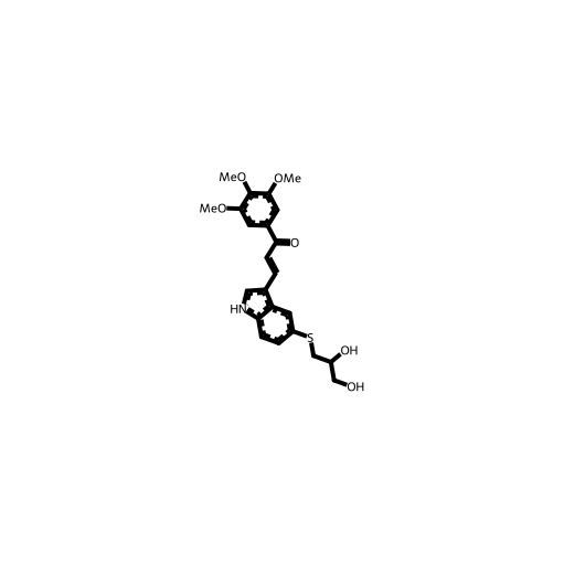 COc1cc(C(=O)/C=C/c2c[nH]c3ccc(SCC(O)CO)cc23)cc(OC)c1OC